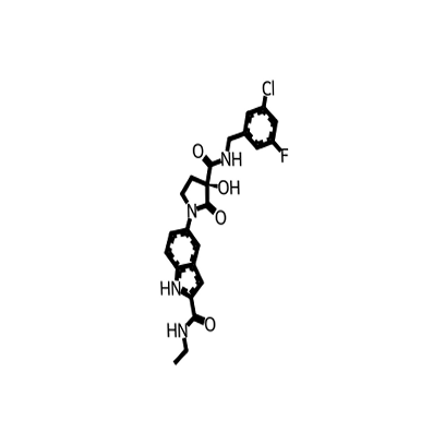 CCNC(=O)c1cc2cc(N3CC[C@](O)(C(=O)NCc4cc(F)cc(Cl)c4)C3=O)ccc2[nH]1